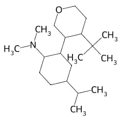 CC(C)C1CCC(N(C)C)C(C2COCCC2C(C)(C)C)C1